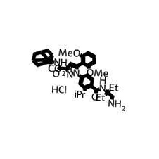 CCC(CC)(CN)NC(=O)c1ccc(-n2nc(C(=O)NC3(C(=O)O)C4CC5CC(C4)CC3C5)cc2-c2c(OC)cccc2OC)cc1C(C)C.Cl